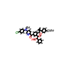 COc1ccc(C2(C(=O)c3ccc(C(=O)c4ccc(N(C)c5ccc(Cl)cc5)cn4)cc3C(=O)C(O)c3ccccc3)CC2)cc1